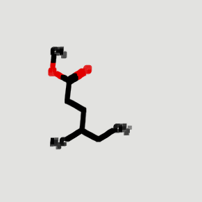 [CH2]CC(C)CCC(=O)OC